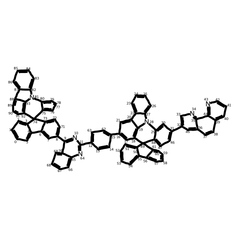 c1ccc2c(c1)-c1cc(-c3nc(-c4ccc(-c5cc6c7c(c5)c5ccccc5n7-c5cc(-c7cnc8c(ccc9cccnc98)c7)ccc5C65c6ccccc6-c6ccccc65)cc4)nc4ccccc34)ccc1C21c2ccccc2-n2c3ccccc3c3cccc1c32